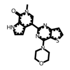 Cn1cc(-c2nc(N3CCOCC3)c3sccc3n2)c2cc[nH]c2c1=O